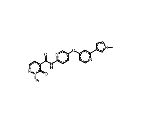 CC(C)n1nccc(C(=O)Nc2ccc(Oc3ccnc(-c4ccn(C)c4)c3)cn2)c1=O